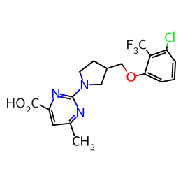 Cc1cc(C(=O)O)nc(N2CCC(COc3cccc(Cl)c3C(F)(F)F)C2)n1